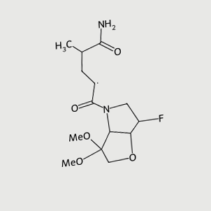 COC1(OC)COC2C(F)CN(C(=O)[CH]CC(C)C(N)=O)C21